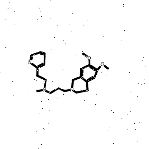 COc1cc2c(cc1OC)CN(CCCN(C)CCc1ccccn1)CC2